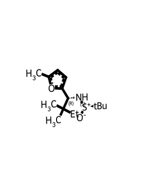 CCC(C)(C)[C@@H](N[S@+]([O-])C(C)(C)C)c1ccc(C)o1